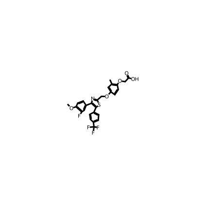 COc1ccc(-c2nc(COc3ccc(OCC(=O)O)c(C)c3)sc2-c2ccc(C(F)(F)F)cc2)cc1F